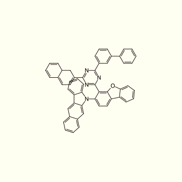 C1=CC2=CC=C(c3nc(-c4cccc(-c5ccccc5)c4)nc(-c4c(-n5c6ccccc6c6cc7ccccc7cc65)ccc5c4oc4ccccc45)n3)CC2C=C1